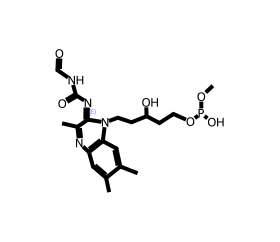 COP(O)OCCC(O)CCn1/c(=N/C(=O)NC=O)c(C)nc2cc(C)c(C)cc21